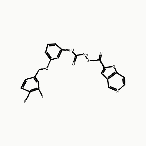 O=C(NSC(=O)c1cc2cnccc2o1)Nc1cccc(OCc2ccc(F)c(F)c2)c1